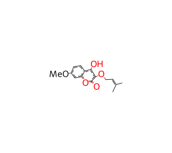 COc1ccc2c(O)c(OCC=C(C)C)c(=O)oc2c1